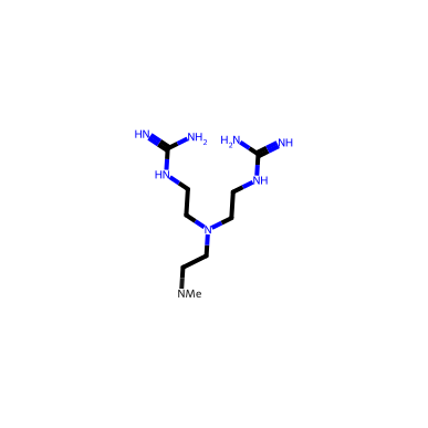 CNCCN(CCNC(=N)N)CCNC(=N)N